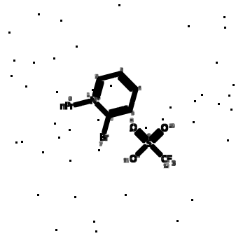 CCC[n+]1ccccc1Br.O=S(=O)([O-])C(F)(F)F